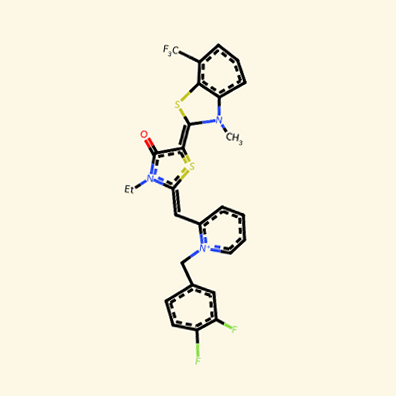 CCn1c(=O)/c(=C2\Sc3c(cccc3C(F)(F)F)N2C)s/c1=C\c1cccc[n+]1Cc1ccc(F)c(F)c1